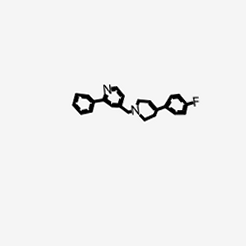 Fc1ccc(C2=CCN(Cc3ccnc(-c4ccccc4)c3)CC2)cc1